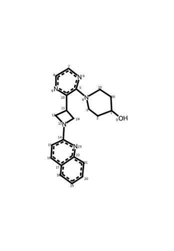 OC1CCN(c2nccnc2C2CN(c3ccc4ccccc4n3)C2)CC1